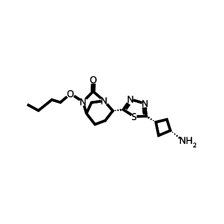 CCCCON1C(=O)N2CC1CC[C@H]2c1nnc([C@H]2C[C@@H](N)C2)s1